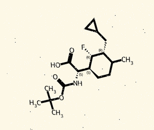 CC1CC[C@@H]([C@H](NC(=O)OC(C)(C)C)C(=O)O)[C@H](F)[C@@H]1CC1CC1